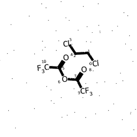 ClCCCl.O=C(OC(=O)C(F)(F)F)C(F)(F)F